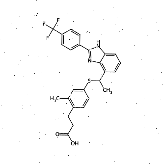 Cc1cc(SC(C)c2cccc3[nH]c(-c4ccc(C(F)(F)F)cc4)nc23)ccc1CCC(=O)O